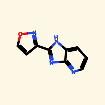 c1cnc2nc(-c3ccon3)[nH]c2c1